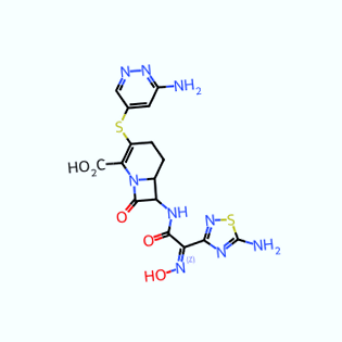 Nc1cc(SC2=C(C(=O)O)N3C(=O)C(NC(=O)/C(=N\O)c4nsc(N)n4)C3CC2)cnn1